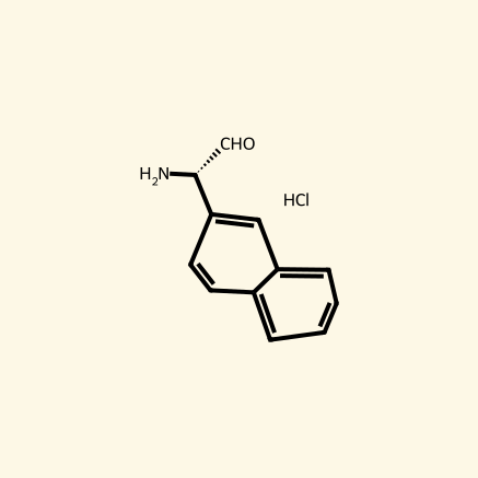 Cl.N[C@H](C=O)c1ccc2ccccc2c1